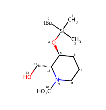 CC(C)(C)[Si](C)(C)O[C@H]1CCCN(C(=O)O)[C@@H]1CO